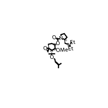 CCN(CC)C[C@@H]1CCCN1C(=O)O[C@@H]1CC[C@]2(CO2)[C@@H](C(C)(C)OCC=C(C)C)[C@@H]1OC